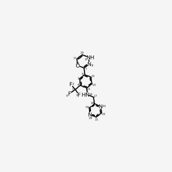 FC(F)(F)c1cc(C2=NNC=CO2)ccc1NCc1cnccn1